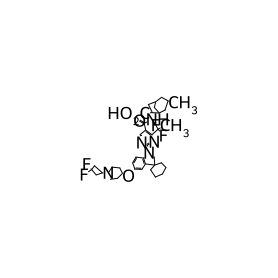 CC1CC2CC(C1)C(NC(=O)c1cnc(N3CC4(CCCCC4)c4cc(OC5CCN(C6CC(F)(F)C6)CC5)ccc43)nc1C(C)(F)F)(C(=O)O)C2